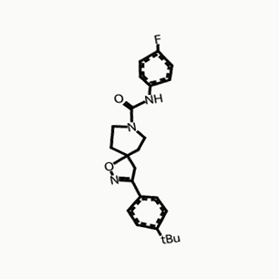 CC(C)(C)c1ccc(C2=NOC3(CCN(C(=O)Nc4ccc(F)cc4)CC3)C2)cc1